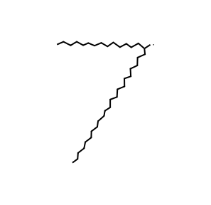 [CH2]C(CCCCCCCCCCCCCC)CCCCCCCCCCCCCCCCCCCCCC